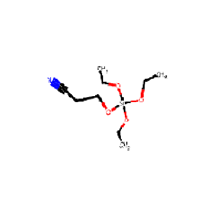 CCO[Si](OCC)(OCC)OCCC#N